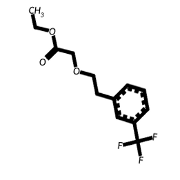 CCOC(=O)COCCc1cccc(C(F)(F)F)c1